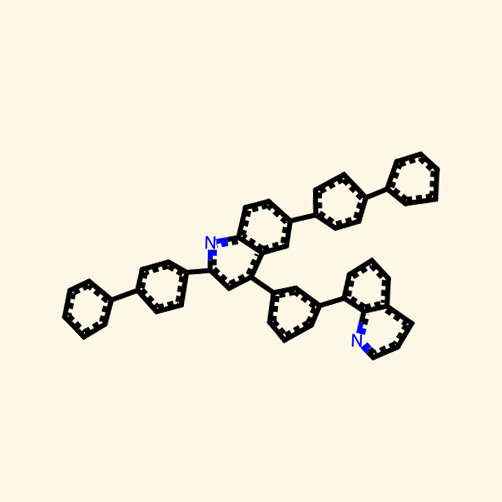 c1ccc(-c2ccc(-c3ccc4nc(-c5ccc(-c6ccccc6)cc5)cc(-c5cccc(-c6cccc7cccnc67)c5)c4c3)cc2)cc1